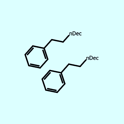 CCCCCCCCCCCCc1ccccc1.CCCCCCCCCCCCc1ccccc1